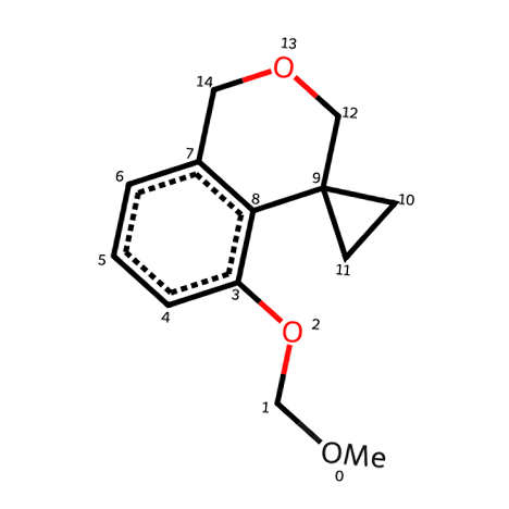 COCOc1cccc2c1C1(CC1)COC2